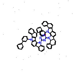 C1=CC2c3ccc4c5ccc6ccccc6c5n(-c5ccccc5)c4c3N(c3nc(-c4ccccc4)nc(-n4c5ccccc5c5ccc6c(c7ccc8ccccc8c7n6-c6cccc(-c7ccccc7)c6)c54)n3)C2c2ccccc21